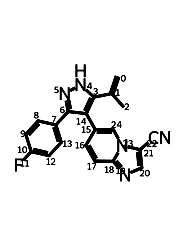 C=C(C)c1[nH]nc(-c2ccc(F)cc2)c1-c1ccc2ncc(C#N)n2c1